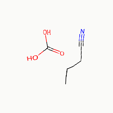 CCCC#N.O=C(O)O